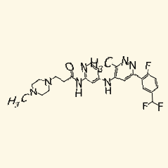 Cc1nnc(-c2cc(C(F)F)ccc2F)cc1Nc1ccnc(NC(=O)CCN2CCN(C)CC2)c1